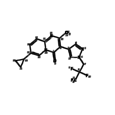 O=c1c(-c2cnn(CC(F)(F)C(F)(F)F)c2)c(C(F)(F)F)nc2ccc(C3CC3)cn12